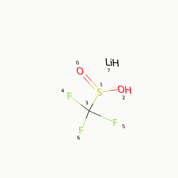 O=S(O)C(F)(F)F.[LiH]